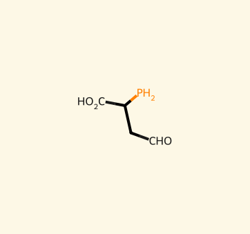 O=CCC(P)C(=O)O